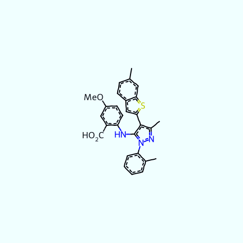 COc1ccc(Nc2c(-c3cc4ccc(C)cc4s3)c(C)nn2-c2ccccc2C)c(C(=O)O)c1